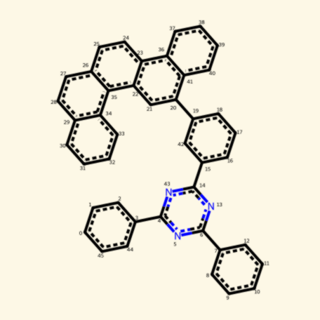 c1ccc(-c2nc(-c3ccccc3)nc(-c3cccc(-c4cc5c(ccc6ccc7ccccc7c65)c5ccccc45)c3)n2)cc1